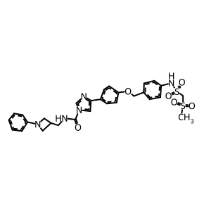 CS(=O)(=O)CS(=O)(=O)Nc1ccc(COc2ccc(-c3cn(C(=O)NCC4CN(c5ccccc5)C4)cn3)cc2)cc1